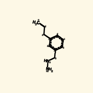 CCCc1cccc(CNN)c1